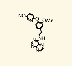 COc1cc(CCNc2ncnc3nccnc23)ccc1Oc1ccc(C#N)cn1